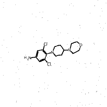 Nc1cc(Cl)c(N2CCC(N3CCOCC3)CC2)c(Cl)c1